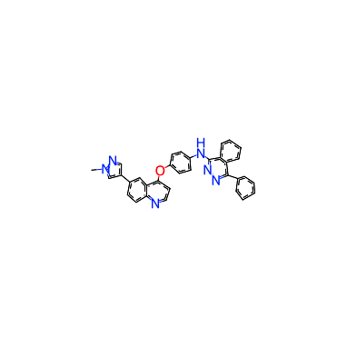 Cn1cc(-c2ccc3nccc(Oc4ccc(Nc5nnc(-c6ccccc6)c6ccccc56)cc4)c3c2)cn1